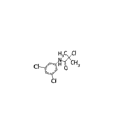 CC(C)(Cl)C(=O)Nc1cc(Cl)cc(Cl)c1